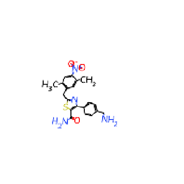 Cc1cc([N+](=O)[O-])c(C)cc1Cc1nc(-c2ccc(CN)cc2)c(C(N)=O)s1